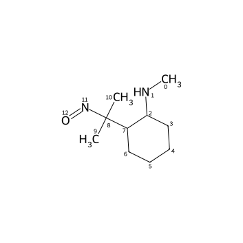 CNC1CCCCC1C(C)(C)N=O